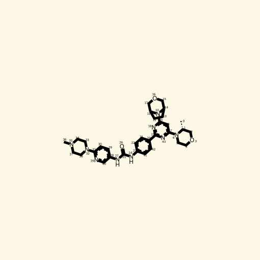 C[C@@H]1COCCN1c1cc(N2C3CCC2COC3)nc(-c2ccc(NC(=O)Nc3ccc(N4CCN(C)CC4)nc3)cc2)n1